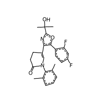 Cc1cccc(C)c1N1C=C(c2nc(C(C)(C)O)oc2-c2ccc(F)cc2F)CCC1=O